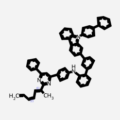 C=C/C=C\C=C(/C)c1nc(-c2ccccc2)cc(-c2ccc(Nc3ccccc3-c3cccc(-c4ccc5c6ccccc6n(-c6ccc(-c7ccccc7)cc6)c5c4)c3)cc2)n1